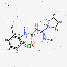 CN=C(NC(=O)Nc1c(C)cccc1Cl)N1CCCC1